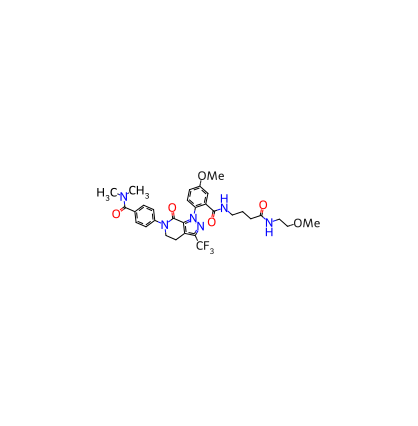 COCCNC(=O)CCCNC(=O)c1cc(OC)ccc1-n1nc(C(F)(F)F)c2c1C(=O)N(c1ccc(C(=O)N(C)C)cc1)CC2